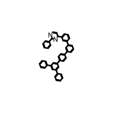 c1ccc(-c2cc(-c3ccccc3)cc(-c3ccc(-c4cccc(-c5cccc(-c6ccnc(-c7ccccc7)n6)c5)c4)cc3)c2)cc1